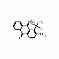 CCC(C)(C)c1c(C)ccc2c1C(=O)c1ccccc1C2=O